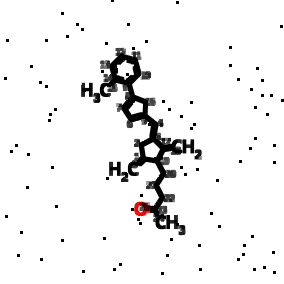 C=C1C/C(=C\C2=CC=C(c3ccccc3C)C2)C(=C)C1CCCC(C)=O